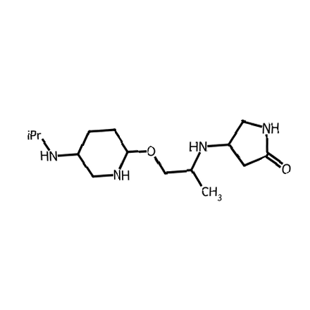 CC(C)NC1CCC(OCC(C)NC2CNC(=O)C2)NC1